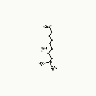 CCCCCCCCCCCCCCCN(C)OC(C)=O.[NaH]